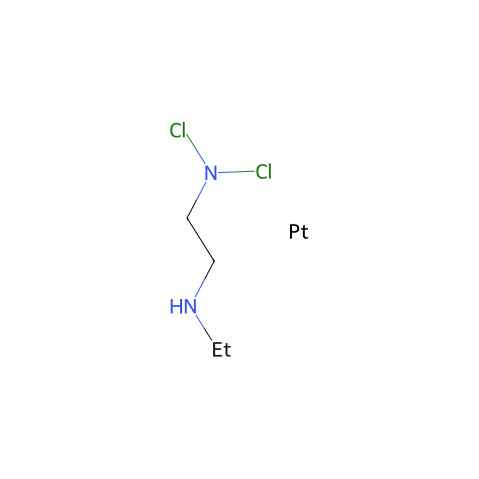 CCNCCN(Cl)Cl.[Pt]